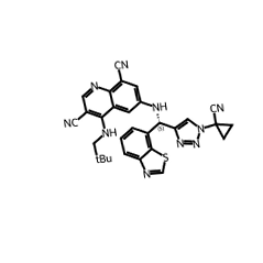 CC(C)(C)CNc1c(C#N)cnc2c(C#N)cc(N[C@H](c3cn(C4(C#N)CC4)nn3)c3cccc4ncsc34)cc12